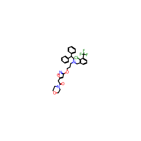 O=C(Cc1cc(OCCCN(Cc2cccc(C(F)(F)F)c2Cl)CC(c2ccccc2)c2ccccc2)no1)N1CCOCC1